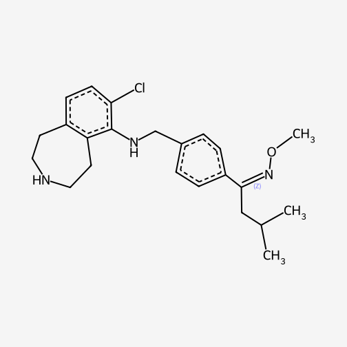 CO/N=C(/CC(C)C)c1ccc(CNc2c(Cl)ccc3c2CCNCC3)cc1